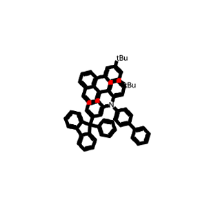 CC(C)(C)c1cc(-c2cccc3cccc(-c4ccccc4N(c4ccc(-c5ccccc5)cc4)c4cccc(C5(c6ccccc6)c6ccccc6-c6ccccc65)c4)c23)cc(C(C)(C)C)c1